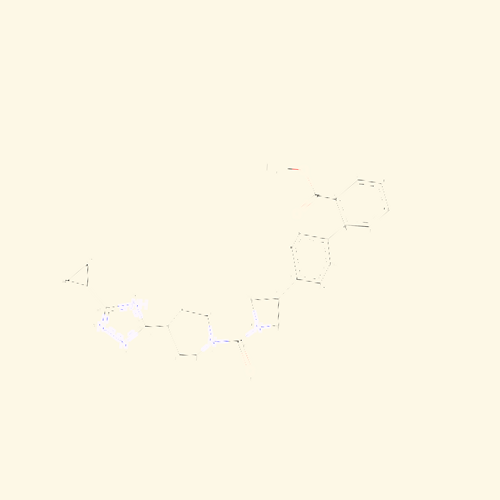 COC(=O)c1ccccc1-c1ccc(C2CN(C(=O)N3CCC(c4nnc(C5CC5)[nH]4)CC3)C2)cc1